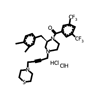 Cc1ccc(C[C@@H]2CN(CC#CCN3CCSCC3)CCN2C(=O)c2cc(C(F)(F)F)cc(C(F)(F)F)c2)cc1C.Cl.Cl